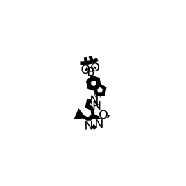 COc1ncnc(C2CC2)c1-c1ccn([C@H]2CCc3cc(B4OC(C)(C)C(C)(C)O4)ccc32)n1